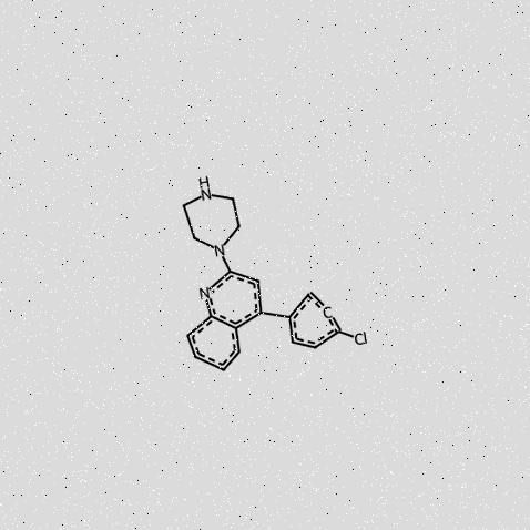 Clc1ccc(-c2cc(N3CCNCC3)nc3ccccc23)cc1